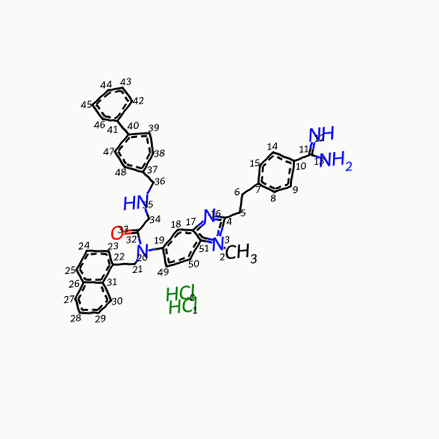 Cl.Cl.Cn1c(CCc2ccc(C(=N)N)cc2)nc2cc(N(Cc3cccc4ccccc34)C(=O)CNCc3ccc(-c4ccccc4)cc3)ccc21